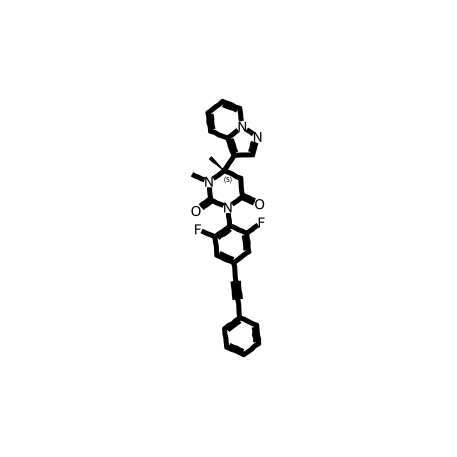 CN1C(=O)N(c2c(F)cc(C#Cc3ccccc3)cc2F)C(=O)C[C@@]1(C)c1cnn2ccccc12